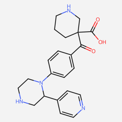 O=C(O)C1(C(=O)c2ccc(N3CCNCC3c3ccncc3)cc2)CCCNC1